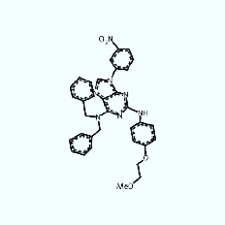 COCCOc1ccc(Nc2nc(N(Cc3ccccc3)Cc3ccccc3)c3ncn(-c4cccc([N+](=O)[O-])c4)c3n2)cc1